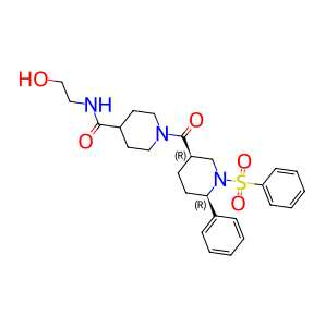 O=C(NCCO)C1CCN(C(=O)[C@@H]2CC[C@H](c3ccccc3)N(S(=O)(=O)c3ccccc3)C2)CC1